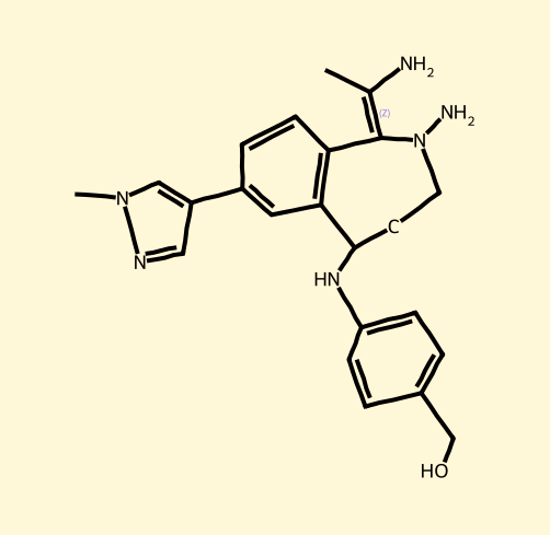 C/C(N)=C1\c2ccc(-c3cnn(C)c3)cc2C(Nc2ccc(CO)cc2)CCN1N